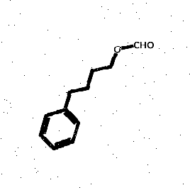 O=COCCC[CH]c1ccccc1